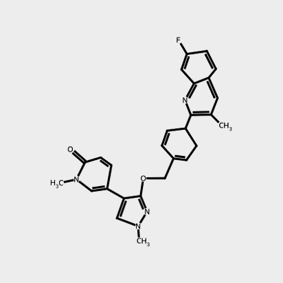 Cc1cc2ccc(F)cc2nc1C1C=CC(COc2nn(C)cc2-c2ccc(=O)n(C)c2)=CC1